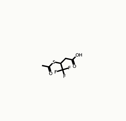 CC(=O)SC(CC(=O)O)C(F)(F)F